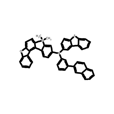 C[Si]1(C)c2cc(N(c3cccc(-c4ccc5ccccc5c4)c3)c3ccc4sc5ccccc5c4c3)ccc2-c2c1ccc1oc3ccccc3c21